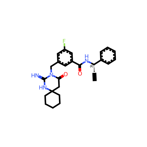 C#C[C@H](NC(=O)c1cc(F)cc(CN2C(=N)NC3(CCCCC3)CC2=O)c1)c1ccccc1